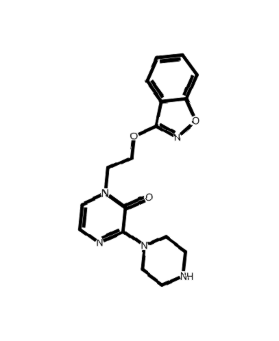 O=c1c(N2CCNCC2)nccn1CCOc1noc2ccccc12